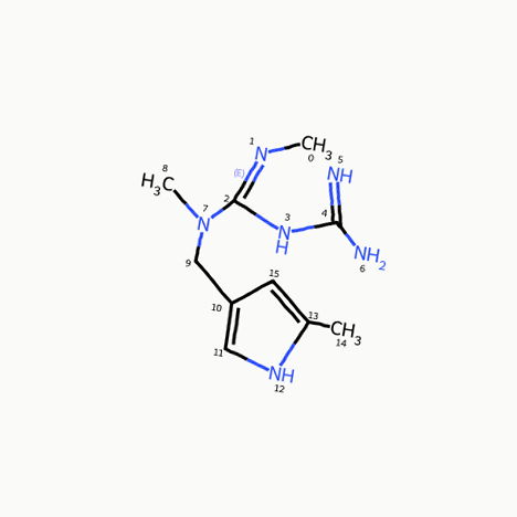 C/N=C(\NC(=N)N)N(C)Cc1c[nH]c(C)c1